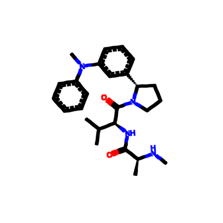 CN[C@@H](C)C(=O)N[C@H](C(=O)N1CCC[C@H]1c1cccc(N(C)c2ccccc2)c1)C(C)C